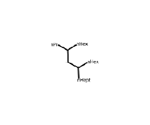 CCCCCCCC([CH]C(CCC)CCCCCC)CCCCCC